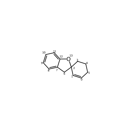 C1=CC2(CCC1)Cc1ccccc1O2